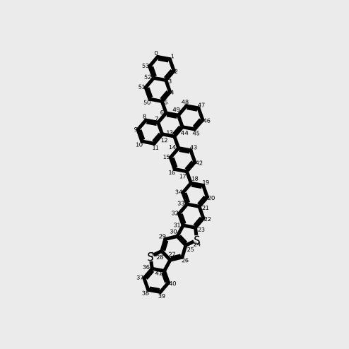 c1ccc2cc(-c3c4ccccc4c(-c4ccc(-c5ccc6cc7sc8cc9c(cc8c7cc6c5)sc5ccccc59)cc4)c4ccccc34)ccc2c1